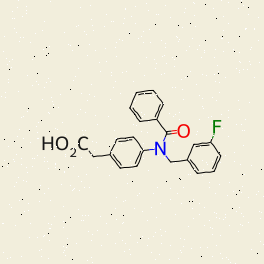 O=C(O)Cc1ccc(N(Cc2cccc(F)c2)C(=O)c2ccccc2)cc1